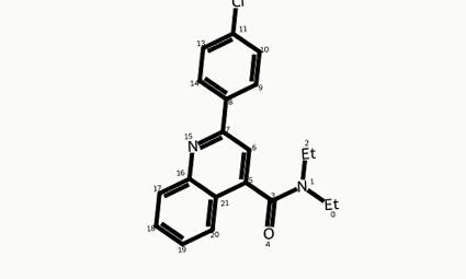 CCN(CC)C(=O)c1cc(-c2ccc(Cl)cc2)nc2ccccc12